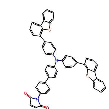 O=C1C=CC(=O)N1c1ccc(-c2ccc(N(c3ccc(-c4cccc5c4sc4ccccc45)cc3)c3ccc(-c4cccc5c4sc4ccccc45)cc3)cc2)cc1